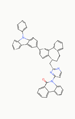 O=c1c2ccccc2c2ccccc2n1-c1ccnc(CC2CCc3ccccc3-c3cc(-c4ccc5c(c4)c4ccccc4n5-c4ccccc4)ccc32)n1